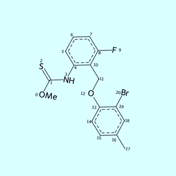 COC(=S)Nc1cccc(F)c1COc1ccc(C)cc1Br